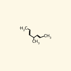 [CH2]C=CC(C)C=CC